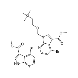 COC(=O)c1c[nH]c2nccc(Br)c12.COC(=O)c1cn(COCC[Si](C)(C)C)c2nccc(Br)c12